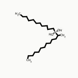 CCCCCCCCCCCC(C)[N+](O)(O)CCCCCCCCCCC